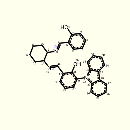 Oc1ccccc1/C=N/C1CCCCC1/N=C/c1cccc(-n2c3ccccc3c3ccccc32)c1O